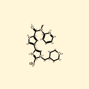 CN(C(=O)c1cc(-c2cn(CC3CCOCC3)c(C(C)(C)C)n2)cs1)c1ccccn1